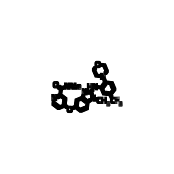 CNC(=O)c1cc(Oc2ccc3c(c2)nc(Nc2cc(C(F)(F)F)ccc2N2CCOCC2)n3C)ccn1